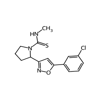 CNC(=S)N1CCCC1c1cc(-c2cccc(Cl)c2)on1